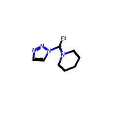 CC[C](N1CCCCC1)n1ccnn1